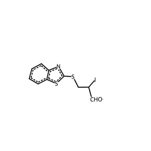 O=[C]C(I)CSc1nc2ccccc2s1